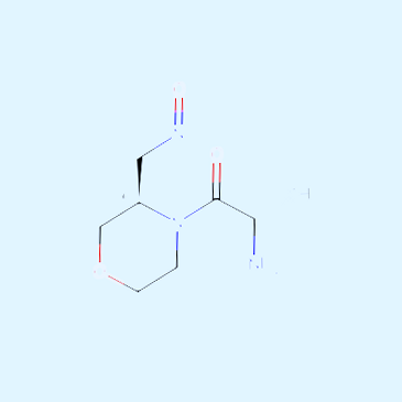 C[C@H](N)C(=O)N1CCOC[C@H]1CN=O